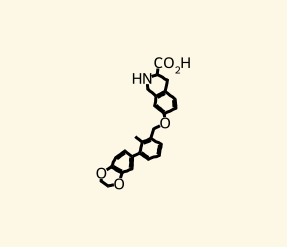 Cc1c(COc2ccc3c(c2)CNC(C(=O)O)C3)cccc1-c1ccc2c(c1)OCCO2